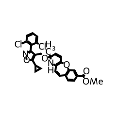 COC(=O)c1ccc2c(c1)OC1=C(C=C2)NC(C)(OCc2c(-c3c(Cl)cccc3Cl)noc2C2CC2)C=C1